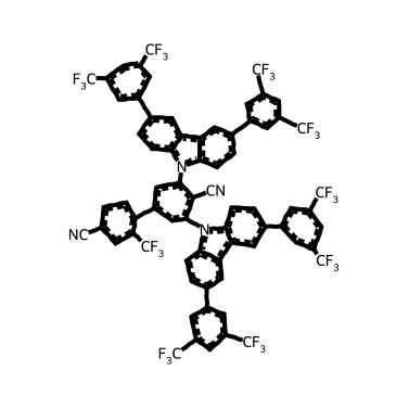 N#Cc1ccc(-c2cc(-n3c4ccc(-c5cc(C(F)(F)F)cc(C(F)(F)F)c5)cc4c4cc(-c5cc(C(F)(F)F)cc(C(F)(F)F)c5)ccc43)c(C#N)c(-n3c4ccc(-c5cc(C(F)(F)F)cc(C(F)(F)F)c5)cc4c4cc(-c5cc(C(F)(F)F)cc(C(F)(F)F)c5)ccc43)c2)c(C(F)(F)F)c1